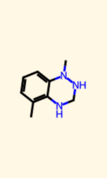 Cc1cccc2c1NCNN2C